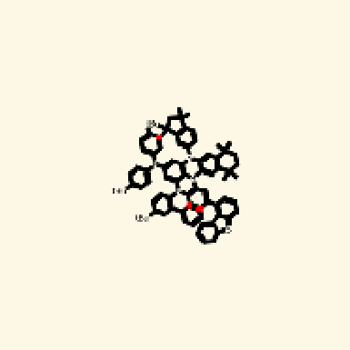 CC(C)(C)c1ccc(N(c2ccc(C(C)(C)C)cc2)c2cc3c4c(c2)N(c2ccc(C(C)(C)C)cc2-c2ccccc2)c2ccc(-c5cccc6sc7ccccc7c56)cc2B4c2cc4c(cc2N3c2ccc3c(c2)C(C)(C)CC3(C)C)C(C)(C)CCC4(C)C)cc1